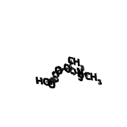 CCCc1cc(-c2nc(CC)cs2)ccc1OCCCOc1ccc2c(c1)CC[C@H]2CC(=O)O